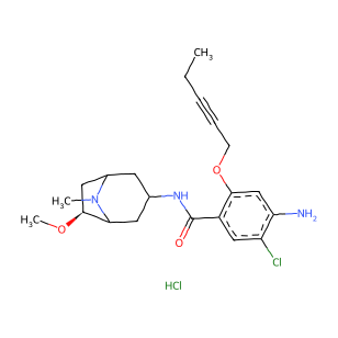 CCC#CCOc1cc(N)c(Cl)cc1C(=O)NC1CC2C[C@H](OC)C(C1)N2C.Cl